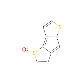 [O-][s+]1ccc2c1=C1C=CSC1C=2